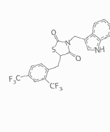 O=C1SC(Cc2ccc(C(F)(F)F)cc2C(F)(F)F)C(=O)N1Cc1c[nH]c2ccccc12